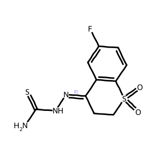 NC(=S)N/N=C1\CCS(=O)(=O)c2ccc(F)cc21